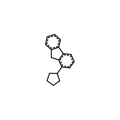 c1ccc2c(c1)Cc1c-2cccc1C1CCCC1